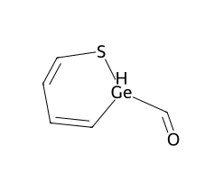 O=[CH][GeH]1[CH]=CC=C[S]1